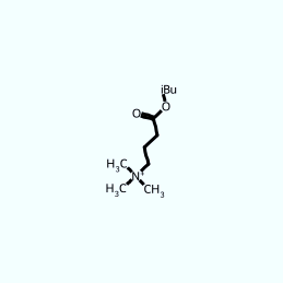 CCC(C)OC(=O)CCC[N+](C)(C)C